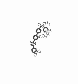 CN(C(=O)c1ccc(-c2ccc(-c3nc(-c4ccc(Cl)c(Cl)c4)cs3)cc2C(=O)O)cc1)C1CCNCC1